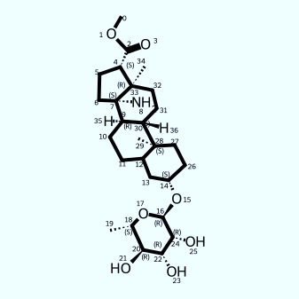 COC(=O)[C@H]1CC[C@]2(N)[C@@H]3CCC4C[C@@H](O[C@@H]5O[C@@H](C)[C@H](O)[C@@H](O)[C@H]5O)CC[C@]4(C)[C@H]3CC[C@]12C